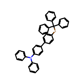 c1ccc(N(c2ccccc2)c2ccc(-c3ccc(SC(c4ccccc4)(c4ccccc4)c4ccccc4)cc3)cc2)cc1